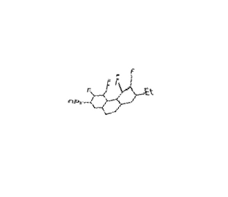 CCCC1CC2CCC3CC(CC)C(F)C(F)C3C2C(F)C1F